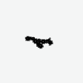 CC(COc1ccc(C(=O)c2c(-c3ccc(OCCN4CCCC4)cc3)sc3ccccc23)cc1)N1CCCC1